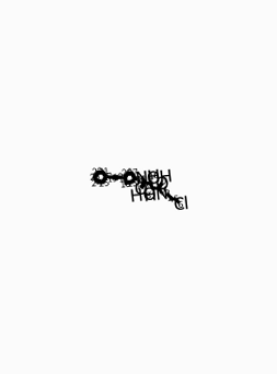 O=C(NCCCCl)[C@H](O)[C@@H](O)C(=O)Nc1ccc(C#Cc2ccccc2)cc1